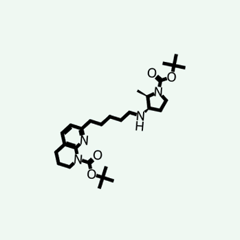 C[C@@H]1[C@H](NCCCCCc2ccc3c(n2)N(C(=O)OC(C)(C)C)CCC3)CCN1C(=O)OC(C)(C)C